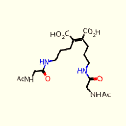 CC(=O)NCC(=O)NCCCC(C(=O)O)=C(CCCNC(=O)CNC(C)=O)C(=O)O